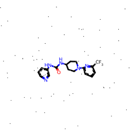 O=C(Nc1cccnc1)NC1CCN(c2cccc(C(F)(F)F)n2)CC1